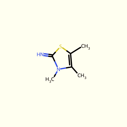 Cc1sc(=N)n(C)c1C